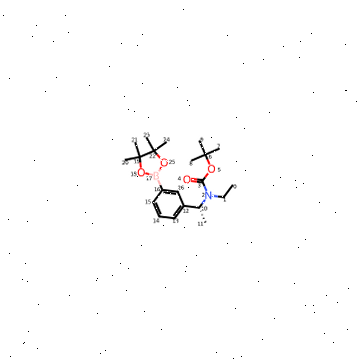 CCN(C(=O)OC(C)(C)C)[C@H](C)c1cccc(B2OC(C)(C)C(C)(C)O2)c1